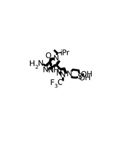 CC(C)[C@H](C)n1cc(-c2cc(N3CCS(O)(O)CC3)n(CC(F)(F)F)n2)c2[nH]nc(N)c2c1=O